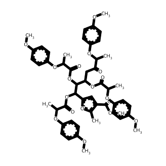 COC(=O)c1cc(C(OC(=O)C(C)Oc2ccc(OC)cc2)C(OC(=O)C(C)Oc2ccc(OC)cc2)C(CC(=O)C(C)Oc2ccc(OC)cc2)OC(=O)C(C)Oc2ccc(OC)cc2)oc1C